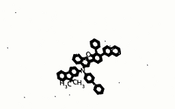 CC1(C)c2ccccc2-c2ccc(N(c3ccc(-c4ccccc4)cc3)c3cc4c5ccc(-c6ccc7ccccc7c6)c(-c6ccccc6)c5oc4c4ccccc34)cc21